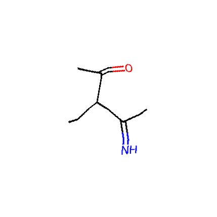 CC(=N)C(C)C(C)=O